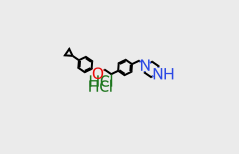 Cl.Cl.c1cc(CN2CCNCC2)ccc1CCOc1ccc(C2CC2)cc1